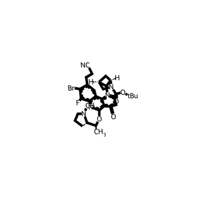 C[C@H](Oc1nc2c(F)c(Br)c(CCC#N)cc2c2c1c(=O)ccn2C1[C@@H]2C[C@H]1N(C(=O)OC(C)(C)C)C2)[C@@H]1CCCN1C